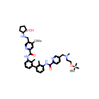 COc1cc(C(=O)Nc2cccc(-c3cccc(NC(=O)c4ccc(CN(C)CCO[Si](C)(C)C(C)(C)C)cn4)c3C)c2C)ncc1CN[C@H]1CCC[C@@H]1O